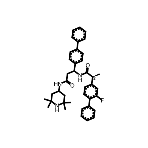 C[C@H](C(=O)NC(CC(=O)NC1CC(C)(C)NC(C)(C)C1)c1ccc(-c2ccccc2)cc1)c1ccc(-c2ccccc2)c(F)c1